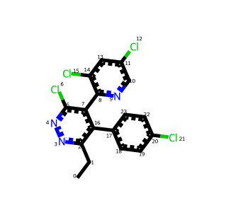 CCc1nnc(Cl)c(-c2ncc(Cl)cc2Cl)c1-c1ccc(Cl)cc1